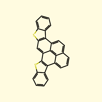 c1ccc2c(c1)sc1cc3c4sc5ccccc5c4c4cccc5ccc(c12)c3c54